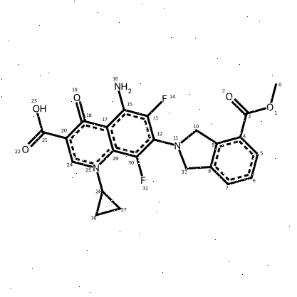 COC(=O)c1cccc2c1CN(c1c(F)c(N)c3c(=O)c(C(=O)O)cn(C4CC4)c3c1F)C2